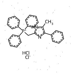 Cc1[nH]c(C[P+](c2ccccc2)(c2ccccc2)c2ccccc2)nc1-c1ccccc1.Cl.[Cl-]